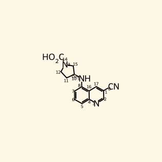 N#Cc1cnc2cccc(N[C@H]3CCN(C(=O)O)C3)c2c1